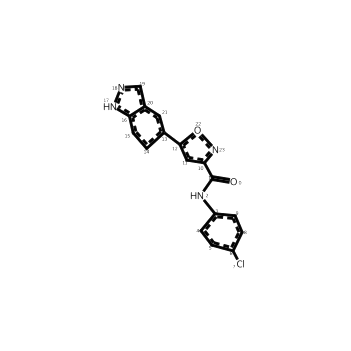 O=C(Nc1ccc(Cl)cc1)c1cc(-c2ccc3[nH]ncc3c2)on1